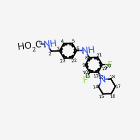 O=C(O)NCc1ccc(Nc2cc(F)c(N3CCCCC3)c(F)c2)cc1